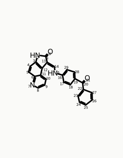 O=C1Nc2ccc3ncccc3c2/C1=C\Nc1ccc(C(=O)c2ccccc2)cc1